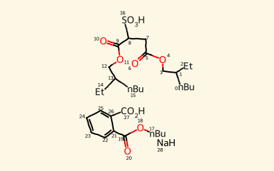 CCCCC(CC)COC(=O)CC(C(=O)OCC(CC)CCCC)S(=O)(=O)O.CCCCOC(=O)c1ccccc1C(=O)O.[NaH]